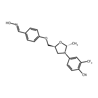 C[C@H]1O[C@H](COc2ccc(/C=N/O)cc2)CN1c1ccc(C#N)c(C(F)(F)F)c1